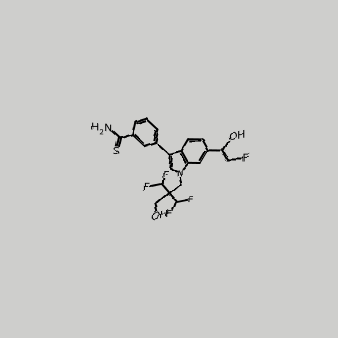 NC(=S)c1cccc(-c2cn(CC(CO)(C(F)F)C(F)F)c3cc(C(O)CF)ccc23)c1